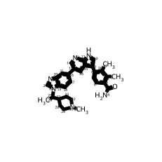 Cc1c(C(N)=O)ccc(-c2c[nH]c3ncc(-c4ccc5c(c4)ncn5C(C)C4CCN(C)CC4)cc23)c1C